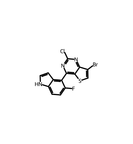 Fc1ccc2[nH]ccc2c1-c1nc(Cl)nc2c(Br)csc12